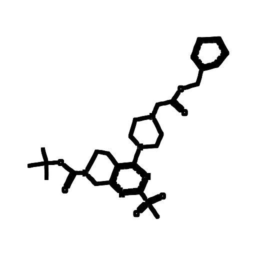 CC(C)(C)OC(=O)N1CCc2c(nc(S(C)(=O)=O)nc2N2CCN(CC(=O)OCc3ccccc3)CC2)C1